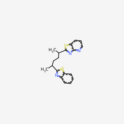 CC(CCC(C)c1nc2ncccc2s1)c1nc2ccccc2s1